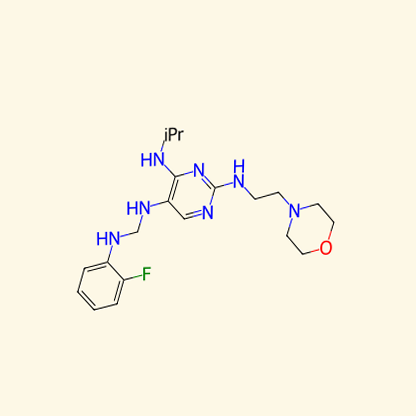 CC(C)Nc1nc(NCCN2CCOCC2)ncc1NCNc1ccccc1F